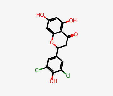 O=C1CC(c2cc(Cl)c(O)c(Cl)c2)Oc2cc(O)cc(O)c21